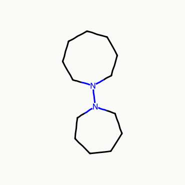 C1CCCN(N2CCCCCC2)CCC1